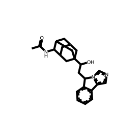 CC(=O)NC1C2CC3CC1CC(C(O)CC1c4ccccc4-c4cncn41)(C3)C2